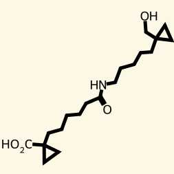 O=C(CCCCCC1(C(=O)O)CC1)NCCCCCC1(CO)CC1